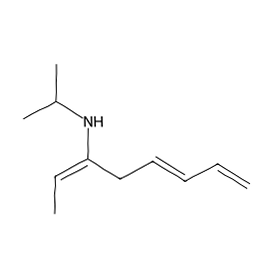 C=C/C=C/C/C(=C\C)NC(C)C